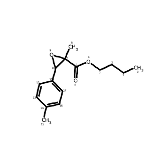 CCCCOC(=O)C1(C)OC1c1ccc(C)cc1